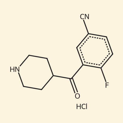 Cl.N#Cc1ccc(F)c(C(=O)C2CCNCC2)c1